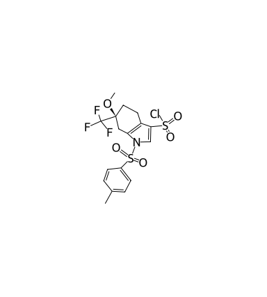 CO[C@@]1(C(F)(F)F)CCc2c(S(=O)(=O)Cl)cn(S(=O)(=O)c3ccc(C)cc3)c2C1